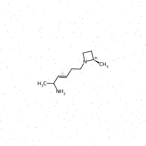 CC(N)/C=C/CCN1CC[C@H]1C